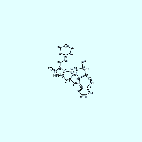 O=c1[nH]c2cc(C=C3c4ccccc4COc4cc(F)ccc43)ccc2n1CCN1CCOCC1